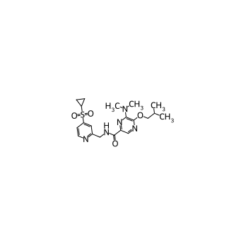 CC(C)COc1ncc(C(=O)NCc2cc(S(=O)(=O)C3CC3)ccn2)nc1N(C)C